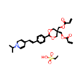 C=CC(=O)OCC1(COC(=O)C=C)COC(c2ccc(C=CC3=CCN(C(C)C)C=C3)cc2)OC1.CCS(=O)(=O)O